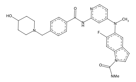 CNC(=O)n1ccc2cc(N(C)c3ccnc(NC(=O)c4ccc(CN5CCC(O)CC5)cc4)c3)c(F)cc21